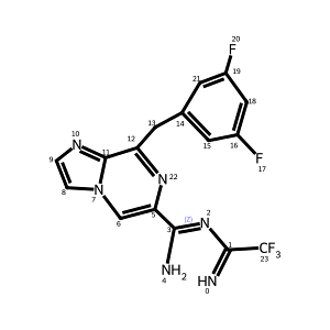 N=C(/N=C(\N)c1cn2ccnc2c(Cc2cc(F)cc(F)c2)n1)C(F)(F)F